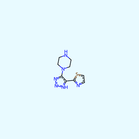 c1csc(-c2[nH]nnc2N2CCNCC2)n1